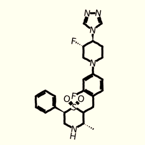 C[C@@H]1NC[C@@H](c2ccccc2)S(=O)(=O)C1Cc1ccc(N2CC[C@H](n3cnnc3)[C@@H](F)C2)cc1F